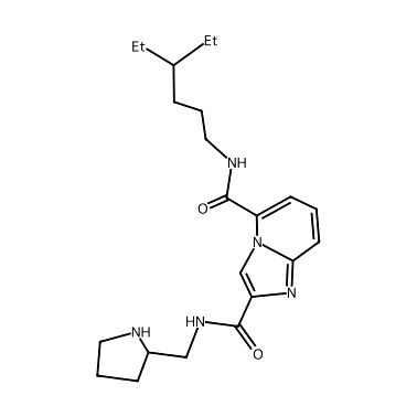 CCC(CC)CCCNC(=O)c1cccc2nc(C(=O)NCC3CCCN3)cn12